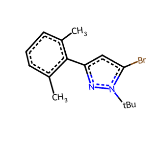 Cc1cccc(C)c1-c1cc(Br)n(C(C)(C)C)n1